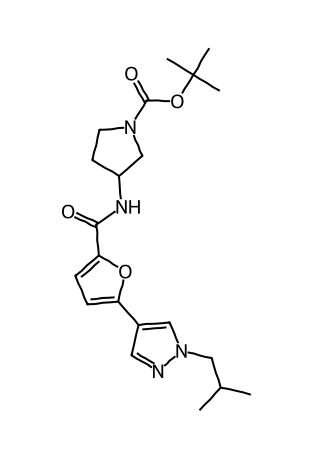 CC(C)Cn1cc(-c2ccc(C(=O)NC3CCN(C(=O)OC(C)(C)C)C3)o2)cn1